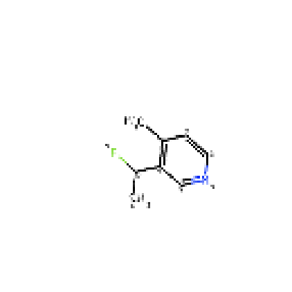 Cc1ccncc1C(C)F